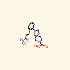 O=C(/C=C/c1ccccc1N1CCC2(CCN(C(=O)O)CC2)C1)NO